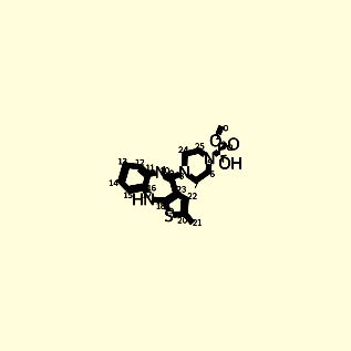 COP(=O)(O)N1CCN(C2=Nc3ccccc3Nc3sc(C)cc32)CC1